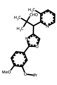 COc1ccc(-c2nc(C(c3ncccc3C)C(C)(C)C=O)co2)cc1OC(C)C